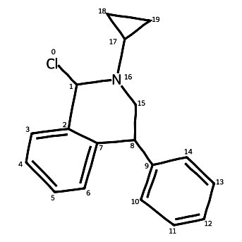 ClC1c2ccccc2C(c2ccccc2)CN1C1CC1